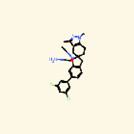 Cc1nn(C)c2c1CC1(CC2)Cc2ccc(-c3cc(F)cc(Cl)c3)cc2C12N=C(N)N(C)O2